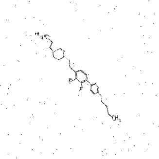 CCCCCc1ccc(-c2ccc(CC[C@H]3CC[C@H](CCC)CC3)c(F)c2F)cc1